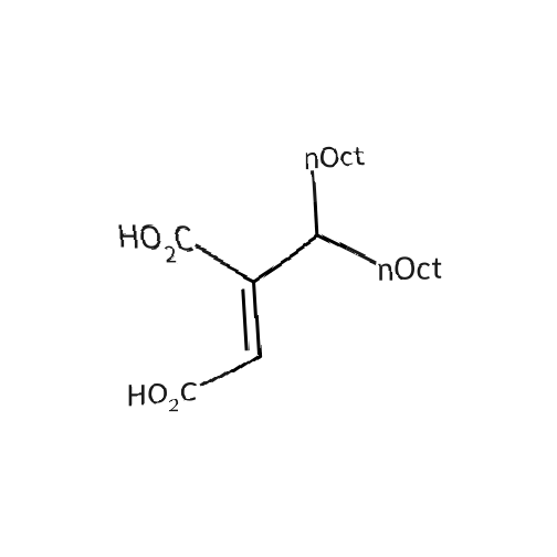 CCCCCCCCC(CCCCCCCC)C(=CC(=O)O)C(=O)O